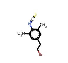 Cc1cc(CCBr)cc([N+](=O)[O-])c1N=C=S